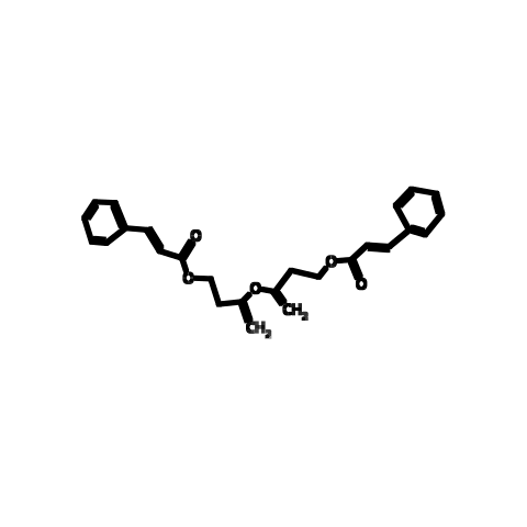 C=C(CCOC(=O)C=Cc1ccccc1)OC(=C)CCOC(=O)C=Cc1ccccc1